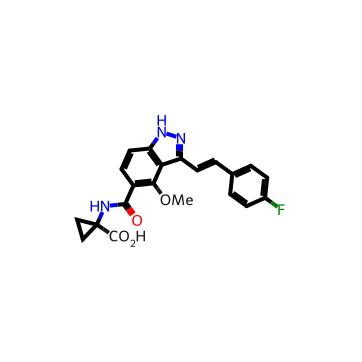 COc1c(C(=O)NC2(C(=O)O)CC2)ccc2[nH]nc(C=Cc3ccc(F)cc3)c12